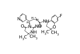 CC1(C)CC(=O)N([C@@H](c2cccnc2)[C@@H]2C[C@H]2C(=O)NC2CC(C)(C)Oc3cc(F)ccc32)C(=N)N1